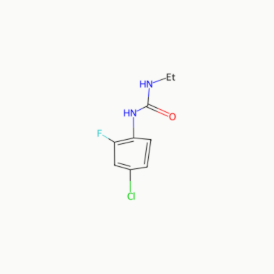 CCNC(=O)Nc1ccc(Cl)cc1F